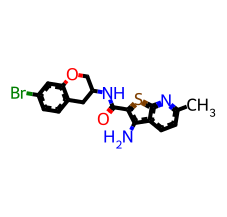 Cc1ccc2c(N)c(C(=O)NC3COc4cc(Br)ccc4C3)sc2n1